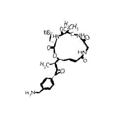 C[C@H]([C@H]1O[C@@H]1c1ccc(CN)cc1)[C@@H]1C/C=C/C(=O)NCC(=O)NCC(C)(C)C(=O)N[C@@H](CC(C)(C)C)C(=O)O1